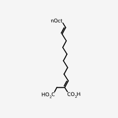 CCCCCCCCC=CCCCCCCC=C(CC(=O)O)C(=O)O